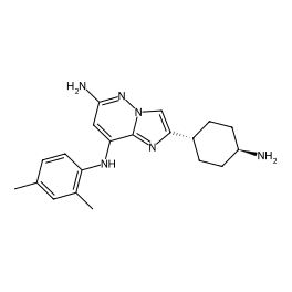 Cc1ccc(Nc2cc(N)nn3cc([C@H]4CC[C@H](N)CC4)nc23)c(C)c1